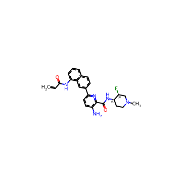 C=CC(=O)Nc1cccc2ccc(-c3ccc(N)c(C(=O)N[C@@H]4CCN(C)C[C@@H]4F)n3)cc12